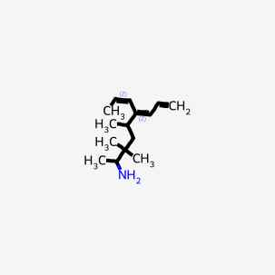 C=C/C=C(\C=C/C)C(C)CC(C)(C)C(C)N